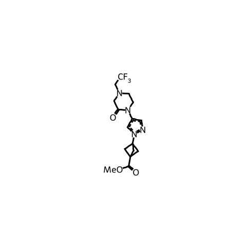 COC(=O)C12CC(n3cc(N4CCN(CC(F)(F)F)CC4=O)cn3)(C1)C2